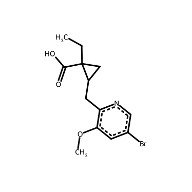 CCC1(C(=O)O)CC1Cc1ncc(Br)cc1OC